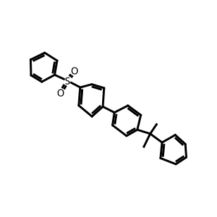 CC(C)(c1ccccc1)c1ccc(-c2ccc(S(=O)(=O)c3ccccc3)cc2)cc1